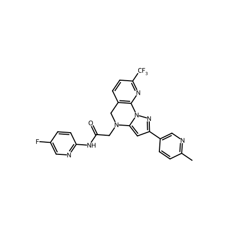 Cc1ccc(-c2cc3n(n2)-c2nc(C(F)(F)F)ccc2CN3CC(=O)Nc2ccc(F)cn2)cn1